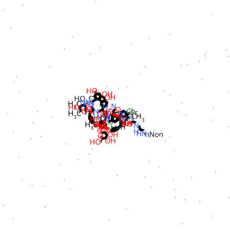 CCCCCCCCCNCCCNCC(=O)N(C)[C@H](CC(C)C)C(=O)N[C@H]1C(=O)C[C@@H](CC(N)=O)C(=O)N[C@H]2C(=O)C[C@H]3C(=O)N[C@H](C(=O)N[C@H](C(=O)O)c4cc(O)cc5c4-c4cc3ccc4C5(O)O)[C@H](O[C@H]3C[C@](C)(N)[C@@H](O)[C@H](C)O3)c3ccc(c(Cl)c3)Oc3cc2cc(c3O[C@@H]2O[C@H](CO)[C@@H](O)[C@H](O)[C@H]2O[C@H]2C[C@](C)(NCc3ccc(-c4ccc(Cl)cc4)cc3)[C@@H](O)[C@H](C)O2)Oc2ccc(cc2Cl)[C@H]1O